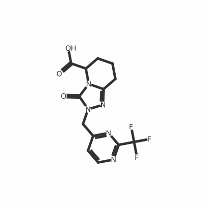 O=C(O)C1CCCc2nn(Cc3ccnc(C(F)(F)F)n3)c(=O)n21